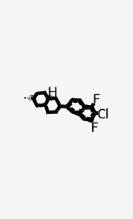 C[C@@H]1CC[C@@H]2CC(c3ccc4c(F)c(Cl)c(F)cc4c3)CCC2C1